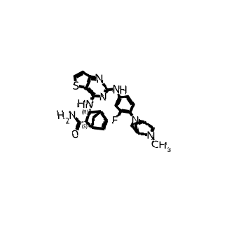 CN1CC2CC1CN2c1ccc(Nc2nc(N[C@@H]3C4C=CC(C4)[C@@H]3C(N)=O)c3sccc3n2)cc1F